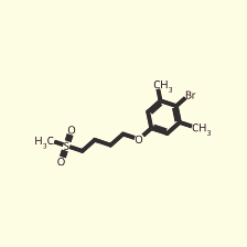 Cc1cc(OCCCCS(C)(=O)=O)cc(C)c1Br